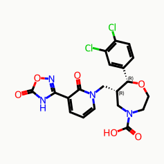 O=C(O)N1CCO[C@@H](c2ccc(Cl)c(Cl)c2)[C@@H](Cn2cccc(-c3noc(=O)[nH]3)c2=O)C1